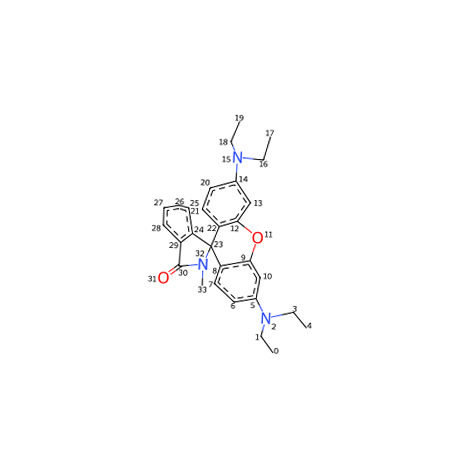 CCN(CC)c1ccc2c(c1)Oc1cc(N(CC)CC)ccc1C21c2ccccc2C(=O)N1C